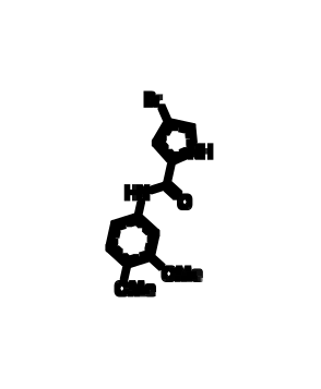 COc1ccc(NC(=O)c2cc(Br)c[nH]2)cc1OC